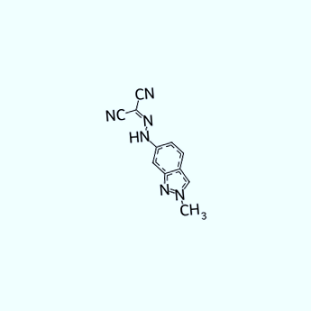 Cn1cc2ccc(NN=C(C#N)C#N)cc2n1